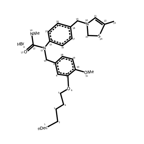 Br.CCCCCCCCCCCCCCOc1cc(CN(C(=O)NC)c2ccc(CN3C=C(C)SC3)cc2)ccc1OC